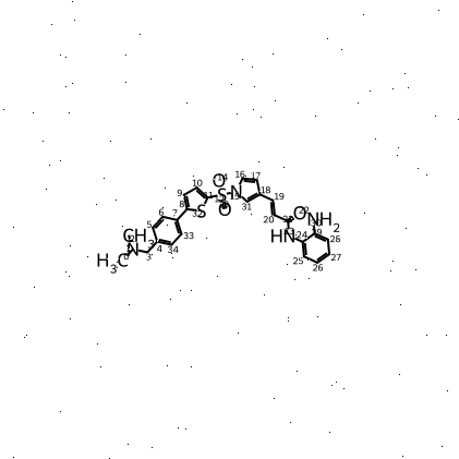 CN(C)Cc1ccc(-c2ccc(S(=O)(=O)n3ccc(C=CC(=O)Nc4ccccc4N)c3)s2)cc1